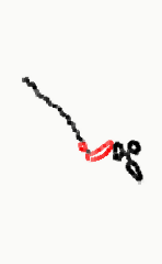 CCCCCCCCCCCCCCCCOCOc1ccc([C](c2ccccc2)c2ccccc2)cc1